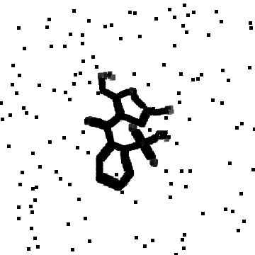 CCC1=C(C(=O)c2ccccc2S(C)(=O)=O)CN(Cl)O1